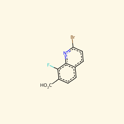 O=C(O)c1ccc2ccc(Br)nc2c1F